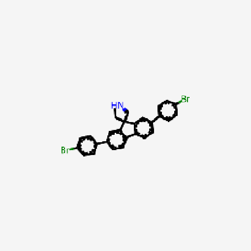 CCC1(C=N)c2cc(-c3ccc(Br)cc3)ccc2-c2ccc(-c3ccc(Br)cc3)cc21